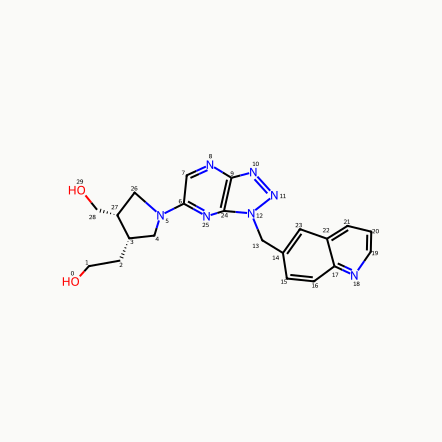 OCC[C@H]1CN(c2cnc3nnn(Cc4ccc5ncccc5c4)c3n2)C[C@H]1CO